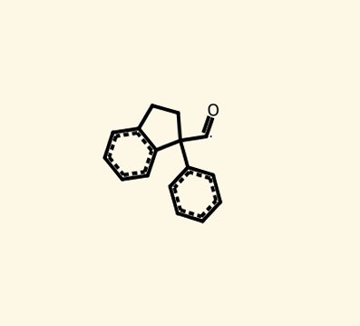 O=[C]C1(c2ccccc2)CCc2ccccc21